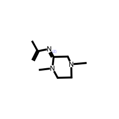 C=C(C)/N=C1/CN(C)CCN1C